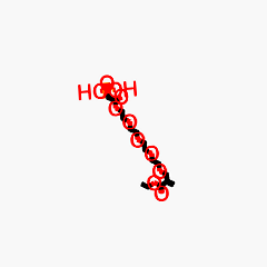 C=C(COCCOCCOCCOCCOC(=O)CP(=O)(O)O)C(=O)OCC